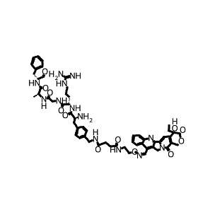 CC[C@@]1(O)C(=O)OCc2c1cc1n(c2=O)Cc2c-1nc1ccccc1c2/C=N\OCCNC(=O)CCC(=O)NCc1ccc(C[C@H](N)C(=O)N[C@@H](CCCNC(=N)N)C(=O)NCC(=O)N[C@@H](C)C(=O)N[C@@H](C=O)Cc2ccccc2)cc1